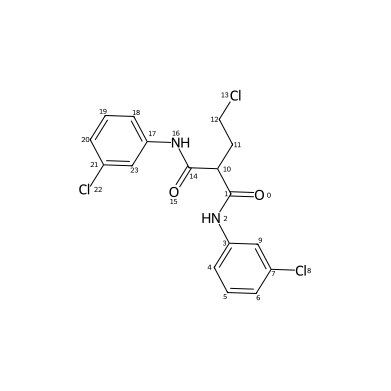 O=C(Nc1cccc(Cl)c1)C(CCCl)C(=O)Nc1cccc(Cl)c1